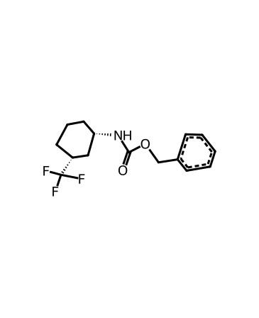 O=C(N[C@H]1CCC[C@@H](C(F)(F)F)C1)OCc1ccccc1